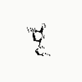 C/C=C\Nc1cc[nH]c(=O)n1